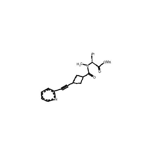 COC(=O)[C@H](C(C)C)N(C)C(=O)C1CC(C#Cc2ccccn2)C1